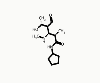 CN[C@@H](C(C=O)[C@@H](C)O)[C@@H](C)C(=O)NC1CCCC1